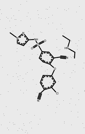 CCNCC.Cn1ccc(NS(=O)(=O)c2ccc(Oc3ccc(C#N)c(Cl)c3)c(C#N)c2)n1